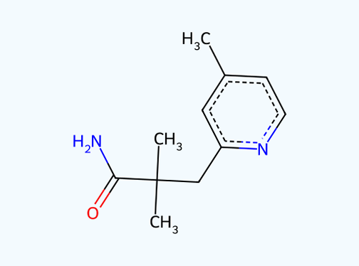 Cc1ccnc(CC(C)(C)C(N)=O)c1